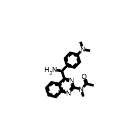 CC(=O)N(C)c1nc(C(N)c2ccc(N(C)C)cc2)c2ccccc2n1